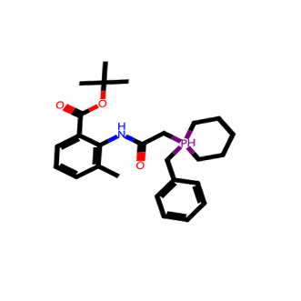 Cc1cccc(C(=O)OC(C)(C)C)c1NC(=O)C[PH]1(Cc2ccccc2)CCCCC1